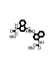 CC(C)(C)OC(=O)Nc1ccc(OBOc2ccc(NC(=O)OC(C)(C)C)c3ccccc23)c2ccccc12